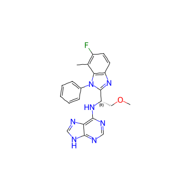 COC[C@H](Nc1ncnc2[nH]cnc12)c1nc2ccc(F)c(C)c2n1-c1ccccc1